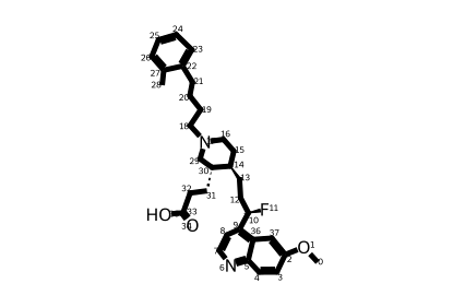 COc1ccc2nccc([C@H](F)CC[C@@H]3CCN(CCCCc4ccccc4C)C[C@H]3CCC(=O)O)c2c1